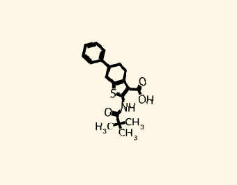 CC(C)(C)C(=O)Nc1sc2c(c1C(=O)O)CCC(c1ccccc1)C2